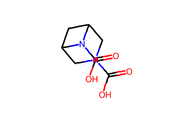 O=C(O)N1CC2CC(C1)N2C(=O)O